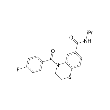 CC(C)NC(=O)c1ccc2c(c1)N(C(=O)c1ccc(F)cc1)CCS2